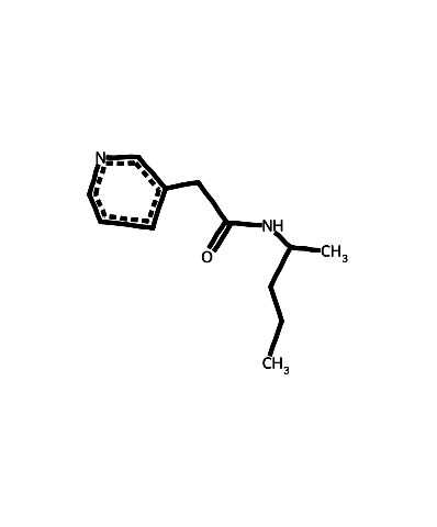 CCCC(C)NC(=O)Cc1cccnc1